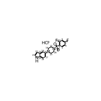 Cl.O=S(=O)(c1ccc(F)cc1F)N1CCN(c2ccc3[nH]ccc3c2)CC1